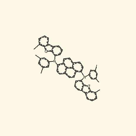 Cc1cc(C)cc(N(c2ccc3ccc4c(N(c5cc(C)cc(C)c5)c5cccc6c5oc5c(C)cccc56)ccc5ccc2c3c54)c2cccc3c2oc2c(C)cccc23)c1